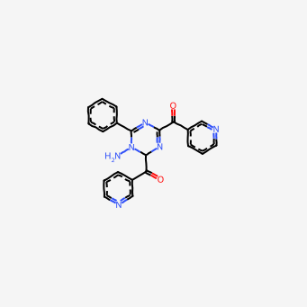 NN1C(c2ccccc2)=NC(C(=O)c2cccnc2)=NC1C(=O)c1cccnc1